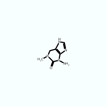 CN1Cc2[nH]cnc2N(N)C1=O